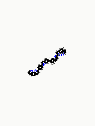 c1cnc2c(c1)ccc1ccc(-c3ccc(-c4ccc5ccc(-c6ccc7ccc(-c8ccc9ccc%10cccnc%10c9n8)nc7c6)cc5n4)cc3)nc12